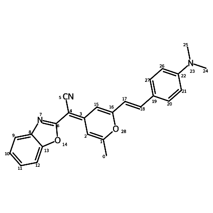 CC1=C/C(=C(/C#N)c2nc3ccccc3o2)C=C(C=Cc2ccc(N(C)C)cc2)O1